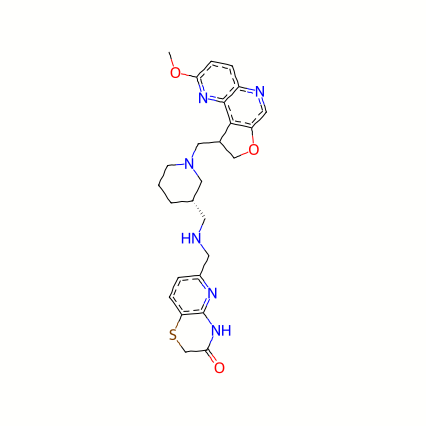 COc1ccc2ncc3c(c2n1)C(CN1CCC[C@@H](CNCc2ccc4c(n2)NC(=O)CS4)C1)CO3